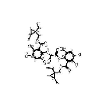 CCC1(COC(=O)c2c(Cl)c(Cl)cc(Cl)c2OC(=O)C(=O)Oc2c(Cl)cc(Cl)c(Cl)c2C(=O)OCC2(CC)CC2C)CC1C